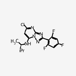 CC(C)[C@@H](C)Nc1cc(Cl)nc2nc(-c3c(F)cc(F)cc3F)nn12